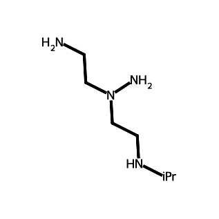 CC(C)NCCN(N)CCN